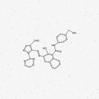 O=Cc1cnn(-c2ncccn2)c1/N=N/c1cc2ccccc2c(C(=O)Nc2ccc(CO)cc2)c1O